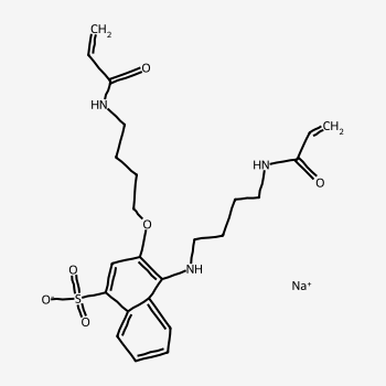 C=CC(=O)NCCCCNc1c(OCCCCNC(=O)C=C)cc(S(=O)(=O)[O-])c2ccccc12.[Na+]